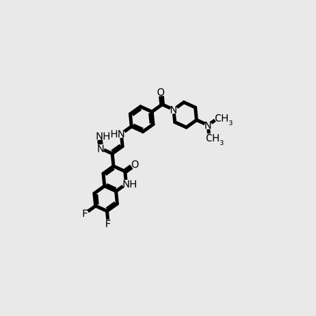 CN(C)C1CCN(C(=O)c2ccc(N/C=C(\N=N)c3cc4cc(F)c(F)cc4[nH]c3=O)cc2)CC1